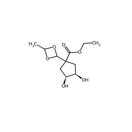 CCOC(=O)C1(C2OC(C)O2)C[C@@H](O)[C@@H](O)C1